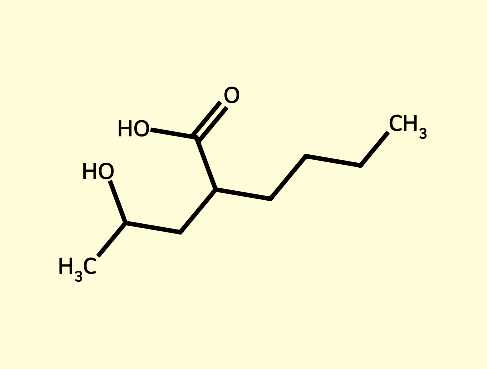 CCCCC(CC(C)O)C(=O)O